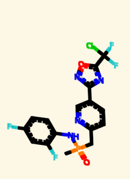 CP(=O)(Cc1ccc(-c2noc(C(F)(F)Cl)n2)cn1)Nc1ccc(F)cc1F